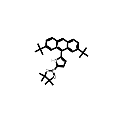 CC(C)(C)c1ccc2cc3ccc(C(C)(C)C)cc3c(-c3ccc(B4OC(C)(C)C(C)(C)O4)[nH]3)c2c1